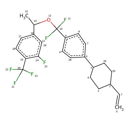 C=CC1CCC(c2ccc(C(F)(F)OC(C)c3ccc(C(F)(F)F)c(F)c3)cc2)CC1